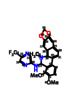 COc1ccc2c(c1OC)C(Nc1cnc(C(F)(F)F)cn1)N(C)c1c-2ccc2cc3c(cc12)OCO3